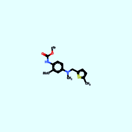 CCCOC(=O)Nc1ccc(N(C)Cc2ccc(C)s2)cc1OC